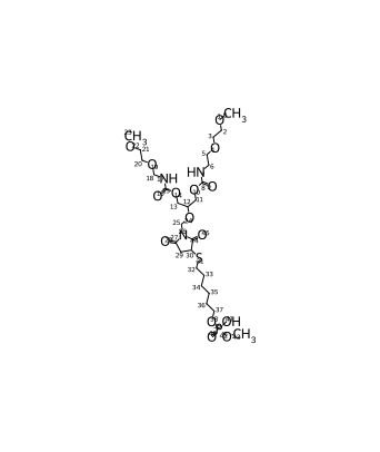 COCCOCCNC(=O)OCC(COC(=O)NCOCCOC)OCN1C(=O)CC(SCCCCCCOP(=O)(O)OC)C1=O